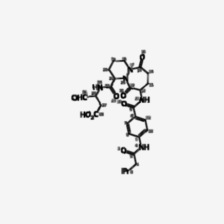 CC(C)CC(=O)Nc1ccc(C(=O)NC2CCC(=O)N3CCCC(C(=O)NC(C=O)CC(=O)O)N3C2=O)cc1